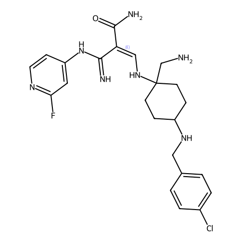 N=C(Nc1ccnc(F)c1)/C(=C\NC1(CN)CCC(NCc2ccc(Cl)cc2)CC1)C(N)=O